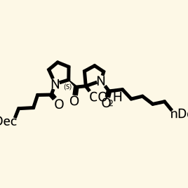 CCCCCCCCCCCCCCCC(=O)N1CCCC1(C(=O)O)C(=O)[C@@H]1CCCN1C(=O)CCCCCCCCCCCCC